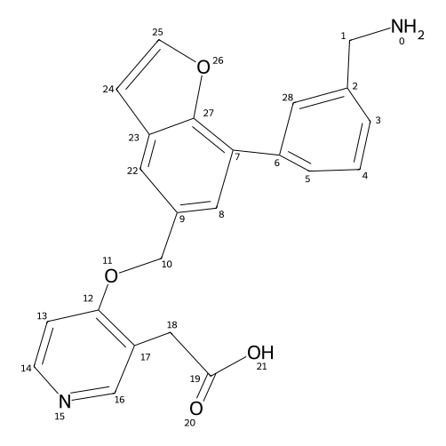 NCc1cccc(-c2cc(COc3ccncc3CC(=O)O)cc3ccoc23)c1